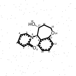 O=c1ccccn1[C@@H]1c2ccccc2OCC[C@H]1O